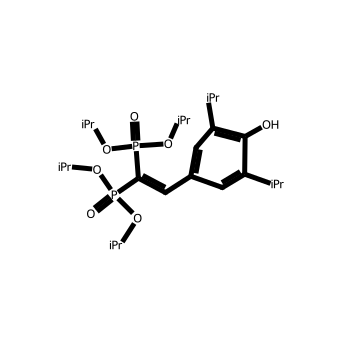 CC(C)OP(=O)(OC(C)C)C(=Cc1cc(C(C)C)c(O)c(C(C)C)c1)P(=O)(OC(C)C)OC(C)C